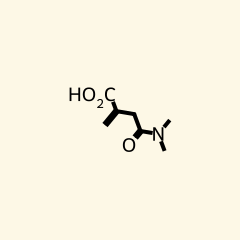 C=C(CC(=O)N(C)C)C(=O)O